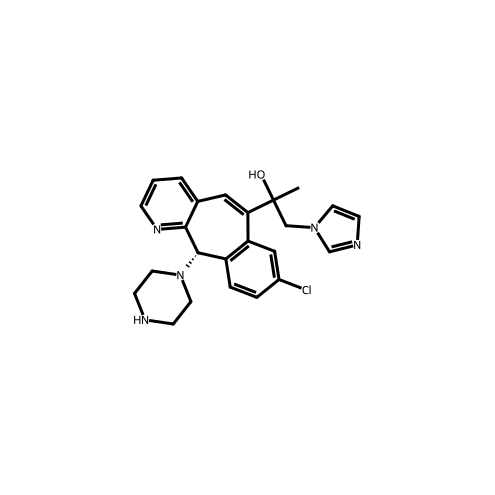 CC(O)(Cn1ccnc1)C1=Cc2cccnc2[C@@H](N2CCNCC2)c2ccc(Cl)cc21